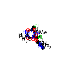 COC[C@@H]1NC(=O)[C@H](C)N(Cc2ccc(Cl)cc2Oc2ccc(-c3cnc([C@H](C)N4CCCC4)n3C)cc2)C(=O)C[C@@H](C)C(=O)N(C)[C@@H](C)CNC(=O)C[C@H](Cc2ccc(Cl)cc2)N(C)C1=O